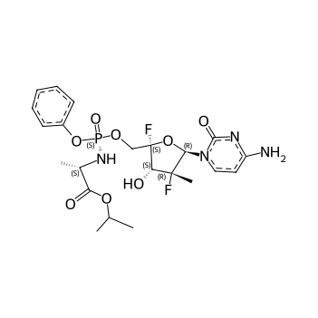 CC(C)OC(=O)[C@H](C)N[P@](=O)(OC[C@@]1(F)O[C@@H](n2ccc(N)nc2=O)[C@](C)(F)[C@@H]1O)Oc1ccccc1